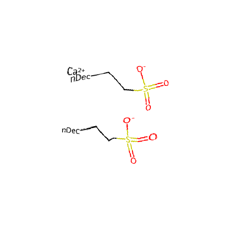 CCCCCCCCCCCCS(=O)(=O)[O-].CCCCCCCCCCCCS(=O)(=O)[O-].[Ca+2]